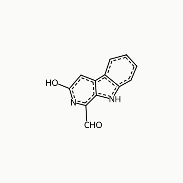 O=Cc1nc(O)cc2c1[nH]c1ccccc12